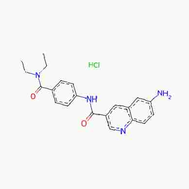 CCN(CC)C(=O)c1ccc(NC(=O)c2cnc3ccc(N)cc3c2)cc1.Cl